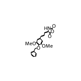 COc1cc(C=CC=C2NC(=O)OC2=O)cc(OC)c1OCc1ccccc1